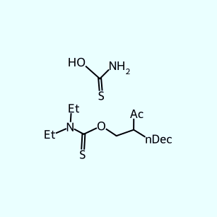 CCCCCCCCCCC(COC(=S)N(CC)CC)C(C)=O.NC(O)=S